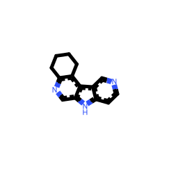 c1cc2[nH]c3cnc4c(c3c2cn1)CCCC4